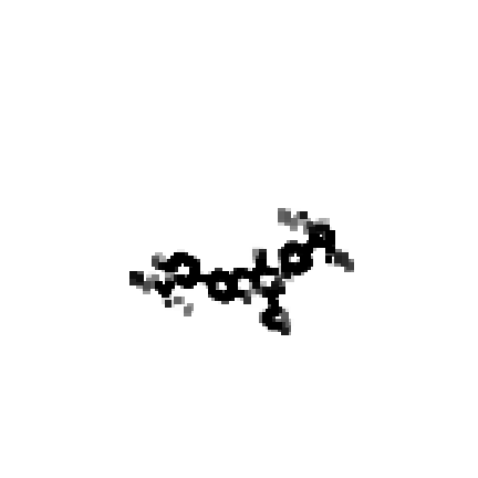 Cc1cnn(C)c1-c1ccc(NC(=O)C(Cc2cc(-c3ccc(=O)n(C(C)C)c3)ccc2Cl)NC(=O)c2ccon2)cc1